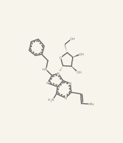 CCCC/C=C/c1nc(N)c2nc(NCc3ccccc3)n([C@@H]3O[C@H](CO)[C@@H](O)[C@H]3O)c2n1